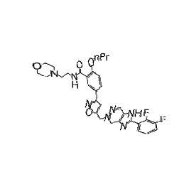 CCCOc1ccc(-c2cc(CN3Cc4nc(-c5cccc(F)c5F)[nH]c4C=N3)on2)cc1C(=O)NCCN1CCOCC1